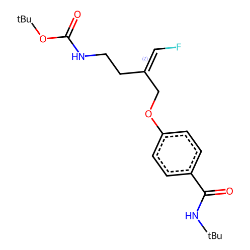 CC(C)(C)NC(=O)c1ccc(OC/C(=C\F)CCNC(=O)OC(C)(C)C)cc1